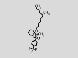 CCCCN(C)CCCCCCOC1(N(C)S(=O)(=O)c2ccc(C(F)(F)F)cc2)CCCCC1